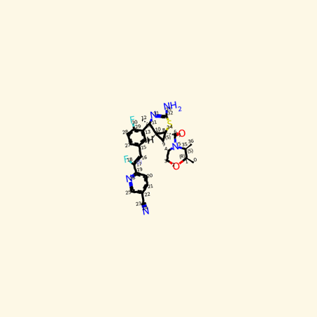 C[C@H]1OCCN(C(=O)[C@]23C[C@H]2[C@@](C)(c2cc(/C=C(\F)c4ccc(C#N)cn4)ccc2F)N=C(N)S3)[C@H]1C